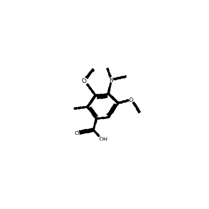 COc1cc(C(=O)O)c(C)c(OC)c1N(C)C